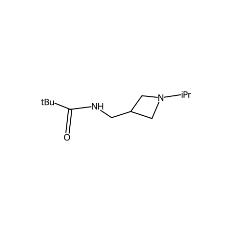 CC(C)N1CC(CNC(=O)C(C)(C)C)C1